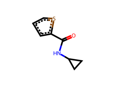 O=C(NC1CC1)c1cccs1